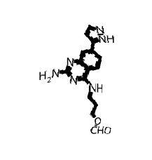 Nc1nc(NCCCOC=O)c2ccc(-c3ccn[nH]3)cc2n1